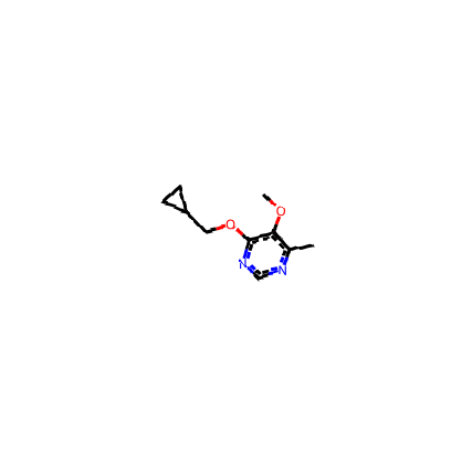 COc1c(C)ncnc1OCC1CC1